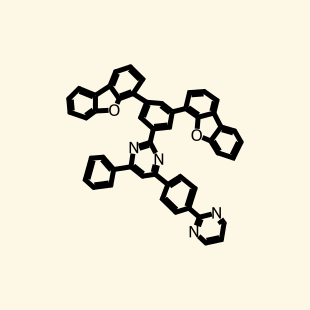 c1ccc(-c2cc(-c3ccc(-c4ncccn4)cc3)nc(-c3cc(-c4cccc5c4oc4ccccc45)cc(-c4cccc5c4oc4ccccc45)c3)n2)cc1